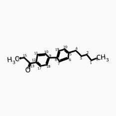 CCCCCc1ccc(-c2ccc(C(=O)CC)cc2)cc1